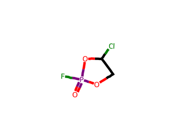 O=P1(F)OCC(Cl)O1